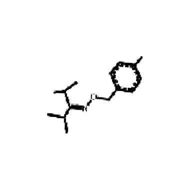 Cc1ccc(CON=C(C(C)C)C(C)C)cc1